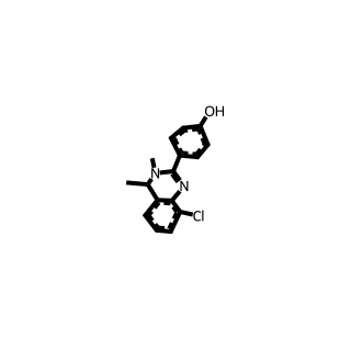 CC1c2cccc(Cl)c2N=C(c2ccc(O)cc2)N1C